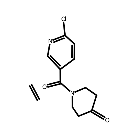 C=C.O=C1CCN(C(=O)c2ccc(Cl)nc2)CC1